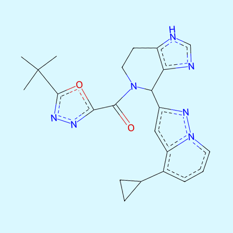 CC(C)(C)c1nnc(C(=O)N2CCc3[nH]cnc3C2c2cc3c(C4CC4)cccn3n2)o1